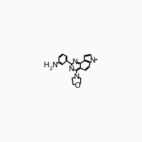 Cn1ccc2c3nc(-c4cccc(N)c4)nc(N4CCOCC4)c3ccc21